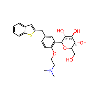 CN(C)CCOc1ccc(Cc2cc3ccccc3s2)cc1C1OC(CO)[C@@H](O)[C@H](O)[C@H]1O